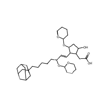 O=C(O)CC1C(O)CC(OC2CCCCO2)C1C=CC(CCCCCC12CC3CC(CC(C3)C1)C2)OC1CCCCO1